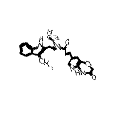 Cc1c(CN(C)C(=O)/C=C/c2cnc3c(c2)OCC(=O)N3)[nH]c2ccccc12